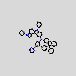 c1ccc(-n2ccc3c4c5cc(N(c6ccc(-c7ncccn7)cc6)c6ccc7c(c6)C(c6ccccc6)(c6ccccc6)c6ccccc6-7)ccc5n(-c5ccccc5)c4ccc32)cc1